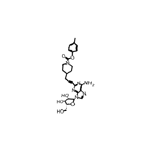 Cc1ccc(OC(=O)N2CCC(CC#Cc3nc(N)c4ncn([C@@H]5O[C@H](CO)C(O)[C@@H]5O)c4n3)CC2)cc1